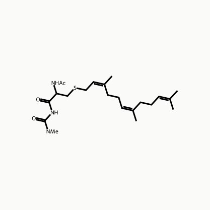 CNC(=O)NC(=O)C(CSCC=C(C)CCC=C(C)CCC=C(C)C)NC(C)=O